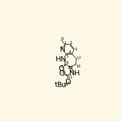 Cc1ccc2c(n1)NC(=O)[C@@H](NC(=O)OC(C)(C)C)CC2